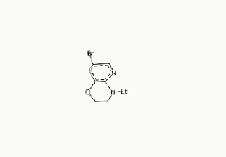 CCN1CCOc2cc(Br)cnc21